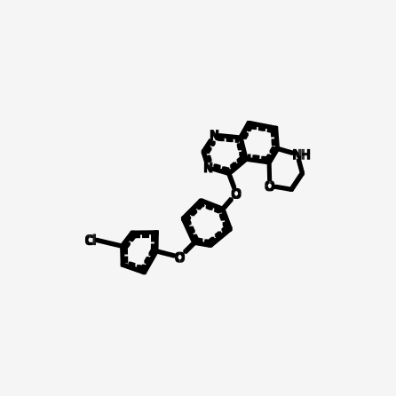 Clc1ccc(Oc2ccc(Oc3ncnc4ccc5c(c34)OCCN5)cc2)cc1